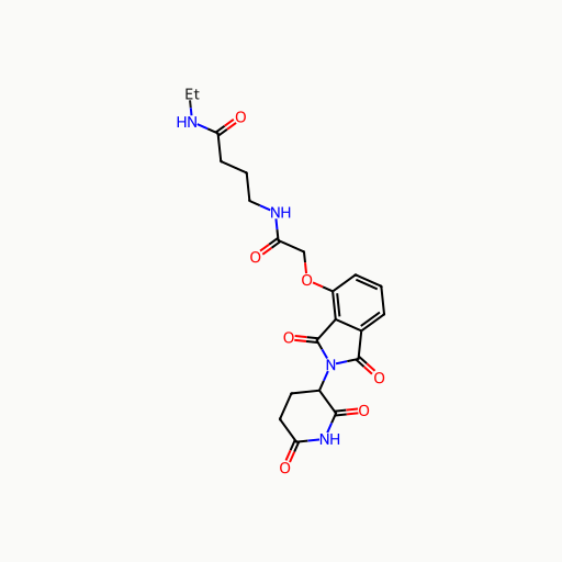 CCNC(=O)CCCNC(=O)COc1cccc2c1C(=O)N(C1CCC(=O)NC1=O)C2=O